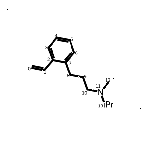 C=Cc1ccccc1CCCN(C)C(C)C